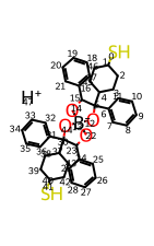 SC1CCC(C2(c3ccccc3)O[B-]3(OC2c2ccccc2)OC(c2ccccc2)C(c2ccccc2)(C2CCC(S)CC2)O3)CC1.[H+]